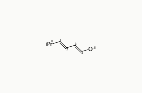 CC(C)/C=C/C=C/[O]